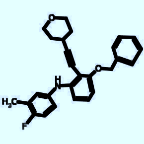 Cc1cc(Nc2cccc(OCc3ccccc3)c2C#CC2CCOCC2)ccc1F